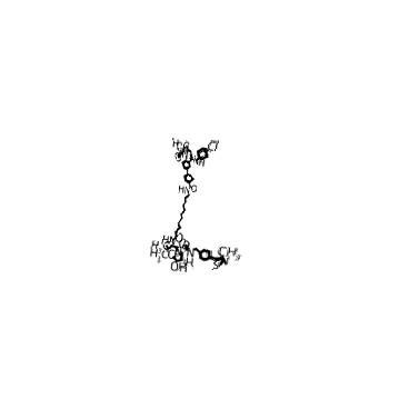 CC(=O)N1c2ccc(-c3ccc(C(=O)NCCCCCCCCCCC(=O)N[C@H](C(=O)N4C[C@H](O)C[C@H]4C(=O)NCc4ccc(-c5scnc5C)cc4)C(C)(C)C)cc3)cc2[C@H](Nc2ccc(Cl)cc2)C[C@@H]1C